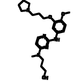 COc1ccc(Nc2nccc(N(C)CCCO)n2)cc1OCCCN1CCCC1